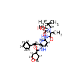 CC(C(=O)Nc1ccc(NC(=O)C2CCOCC2)c(C#Cc2ccccc2)n1)N(CC(C)(C)C)C(=O)O